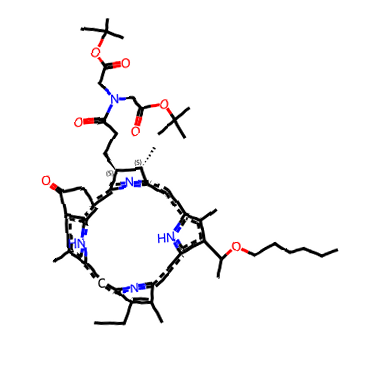 CCCCCCOC(C)c1c(C)c2cc3nc(c4c5[nH]c(cc6nc(cc1[nH]2)C(C)=C6CC)c(C)c5C(=O)C4)[C@@H](CCC(=O)N(CC(=O)OC(C)(C)C)CC(=O)OC(C)(C)C)[C@@H]3C